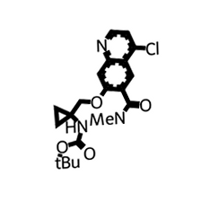 CNC(=O)c1cc2c(Cl)ccnc2cc1OCC1(NC(=O)OC(C)(C)C)CC1